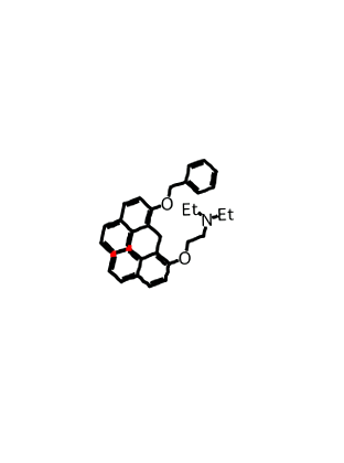 CCN(CC)CCOc1ccc2ccccc2c1Cc1c(OCc2ccccc2)ccc2ccccc12